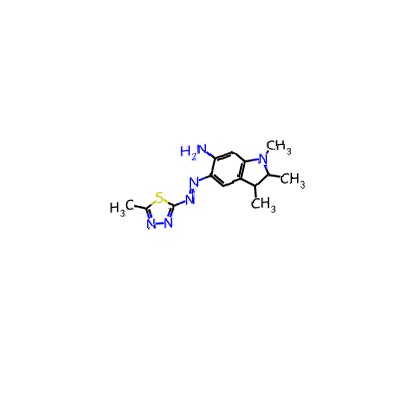 Cc1nnc(N=Nc2cc3c(cc2N)N(C)C(C)C3C)s1